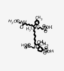 COCNC(=O)CCCCCC1(C)C(/C=C/C=C/C=C/C=C2/N(CCCS(=O)(=O)O)c3ccc(S(=O)(=O)O)cc3C2(C)C)=[N+](CCCS(=O)(=O)O)c2ccc(C)cc21